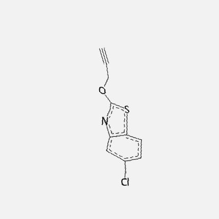 C#CCOc1nc2cc(Cl)ccc2s1